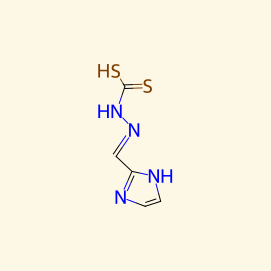 S=C(S)NN=Cc1ncc[nH]1